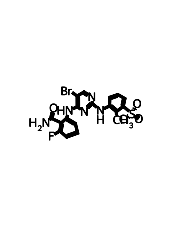 Cc1c(Nc2ncc(Br)c(Nc3cccc(F)c3C(N)=O)n2)cccc1S(=O)(=O)Cl